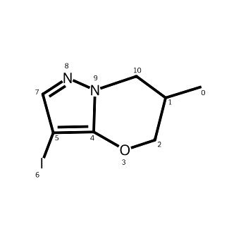 CC1COc2c(I)cnn2C1